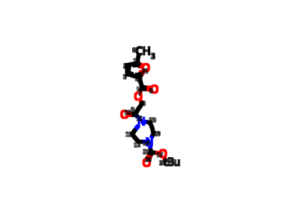 Cc1ccc(C(=O)OCC(=O)N2CCN(C(=O)OC(C)(C)C)CC2)o1